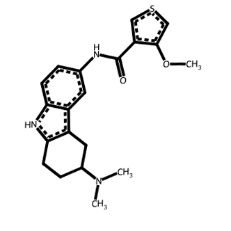 COc1cscc1C(=O)Nc1ccc2[nH]c3c(c2c1)CC(N(C)C)CC3